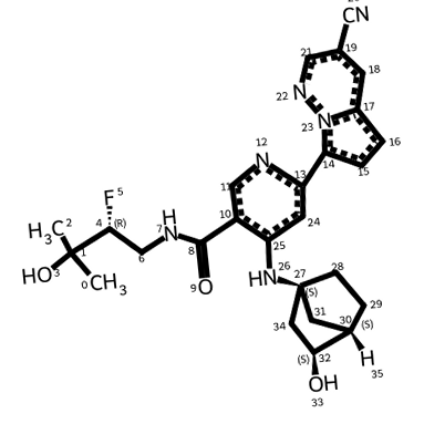 CC(C)(O)[C@H](F)CNC(=O)c1cnc(-c2ccc3cc(C#N)cnn23)cc1N[C@@]12CC[C@@H](C1)[C@@H](O)C2